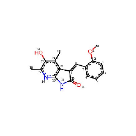 COc1ccccc1C=C1C(=O)Nc2nc(C)c(O)c(C)c21